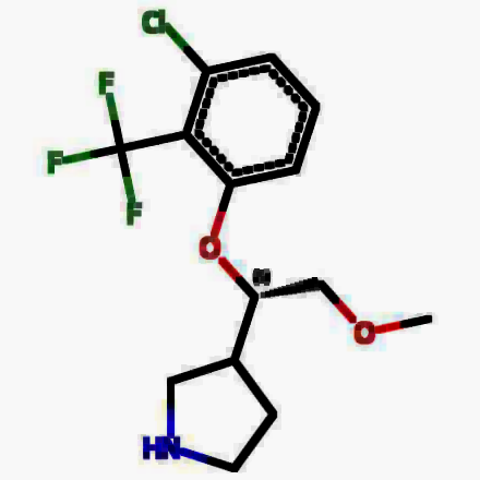 COC[C@@H](Oc1cccc(Cl)c1C(F)(F)F)C1CCNC1